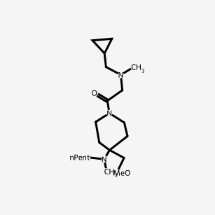 CCCCCN(C)C1(COC)CCN(C(=O)CN(C)CC2CC2)CC1